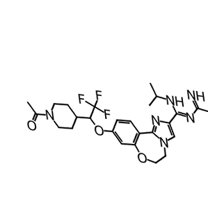 CC(=N)/N=C(\NC(C)C)c1cn2c(n1)-c1ccc(OC(C3CCN(C(C)=O)CC3)C(F)(F)F)cc1OCC2